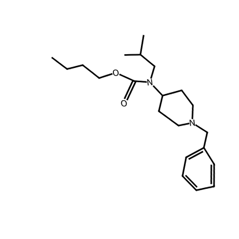 CCCCOC(=O)N(CC(C)C)C1CCN(Cc2ccccc2)CC1